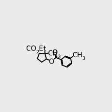 CCOC(=O)C1(C)CCCC1OC(=O)c1cccc(C)c1